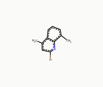 Cc1cc(Br)nc2c(C)cccc12